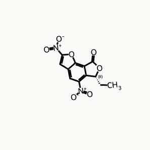 CC[C@H]1OC(=O)c2c1c([N+](=O)[O-])cc1cc([N+](=O)[O-])oc21